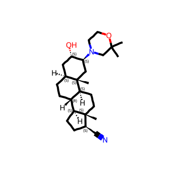 CC1(C)CN([C@H]2C[C@@]3(C)[C@@H](CC[C@@H]4[C@@H]3CC[C@]3(C)[C@@H](C#N)CC[C@@H]43)C[C@@H]2O)CCO1